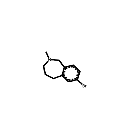 CN1CCCc2cc(Br)ccc2C1